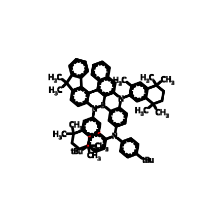 Cc1cc2c(cc1N1c3ccc(N(c4ccc(C(C)(C)C)cc4)c4ccc(C(C)(C)C)cc4)cc3B3c4c1cc1ccccc1c4-c1c(ccc4c1-c1ccccc1C4(C)C)N3c1ccc3c(c1)C(C)(C)CCC3(C)C)C(C)(C)CCC2(C)C